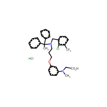 CN(CC(=O)O)c1cccc(OCCCN(Cc2cccc(C(F)(F)F)c2Cl)C(C)(c2ccccc2)c2ccccc2)c1.Cl